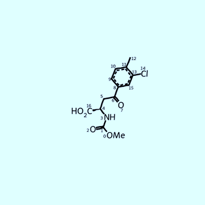 COC(=O)N[C@H](CC(=O)c1ccc(C)c(Cl)c1)C(=O)O